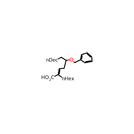 CCCCCCCCCCCC(C/C=C(\CCCCCC)C(=O)O)OCc1ccccc1